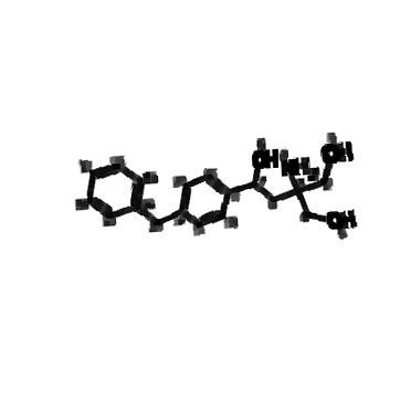 NC(CO)(CO)CC(O)c1ccc(Cc2ccccc2)cc1